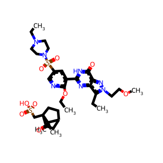 CC1(C)C2CCC1(CS(=O)(=O)O)C(=O)C2.CCOc1ncc(S(=O)(=O)N2CCN(CC)CC2)cc1-c1nc2c(CC)n(CCOC)nc2c(=O)[nH]1